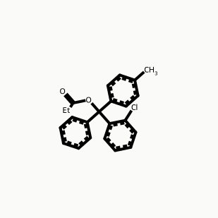 CCC(=O)OC(c1ccccc1)(c1ccc(C)cc1)c1ccccc1Cl